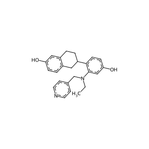 CCN(Cc1ccncc1)c1cc(O)ccc1C1CCc2cc(O)ccc2C1